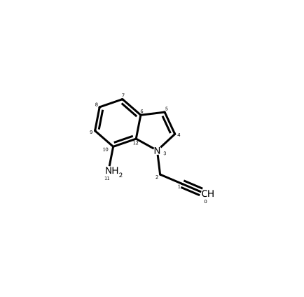 C#CCn1ccc2cccc(N)c21